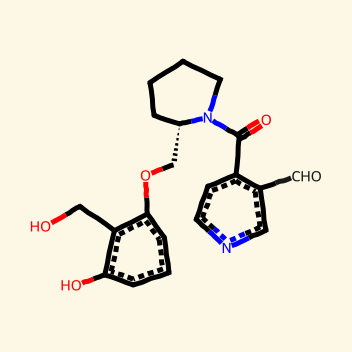 O=Cc1cnccc1C(=O)N1CCCC[C@H]1COc1cccc(O)c1CO